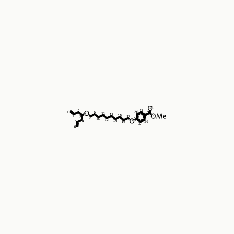 C=CCC(CC=C)OCCCCCCCCCCOc1ccc(C(=O)OC)cc1